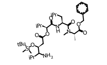 CC(C)C[C@H](NC(=O)[C@@H](OC(=O)C[C@H](O[Si](C)(C)C(C)(C)C)C(N)C(C)C)C(C)C)C(=O)N(C)[C@@H](C)C(=O)OCc1ccccc1